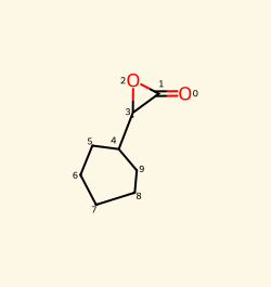 O=C1O[C]1C1CCCCC1